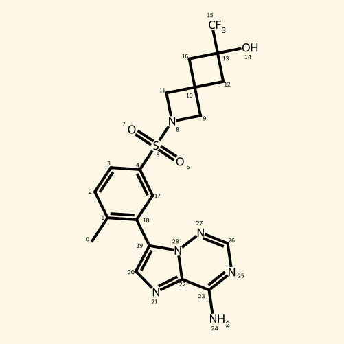 Cc1ccc(S(=O)(=O)N2CC3(C2)CC(O)(C(F)(F)F)C3)cc1-c1cnc2c(N)ncnn12